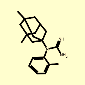 CC12CC3CC(C)(C1)CC(N(C(=N)N)c1ccccc1I)(C3)C2